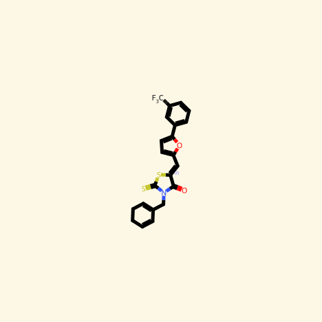 O=C1/C(=C/c2ccc(-c3cccc(C(F)(F)F)c3)o2)SC(=S)N1CC1=CCCC=C1